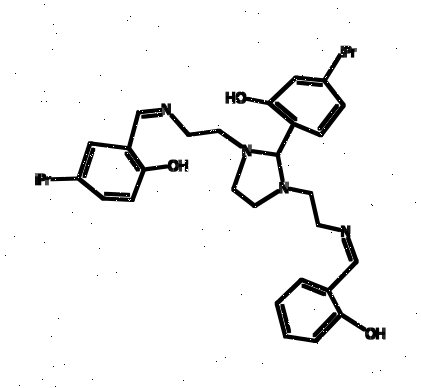 CC(C)c1ccc(C2N(CC/N=C\c3ccccc3O)CCN2CC/N=C\c2cc(C(C)C)ccc2O)c(O)c1